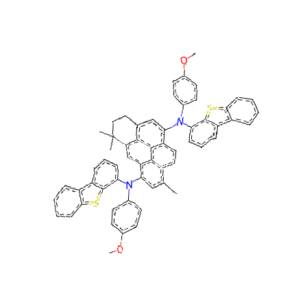 COc1ccc(N(c2cc(C)c3ccc4c(N(c5ccc(OC)cc5)c5cccc6c5sc5ccccc56)cc5c6c(cc2c3c46)C(C)(C)CC5)c2cccc3c2sc2ccccc23)cc1